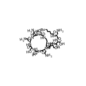 CC[C@H](C)CCCCC(=O)N[C@@H](CCN)C(=O)N[C@H](C(=O)NC(CO)C(=O)N[C@H]1CCNC(=O)[C@H]([C@@H](C)O)NC(=O)[C@H](CCN)NC(=O)[C@H](CCN)NC(=O)[C@H]([C@@H](C)O)NC(=O)[C@@H](CC(C)C)NC(=O)[C@H](CCN)NC1=O)[C@@H](C)O